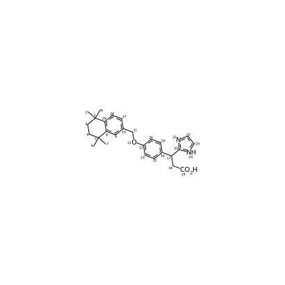 CC1(C)CCC(C)(C)c2cc(COc3ccc(C(CC(=O)O)c4ncc[nH]4)cc3)ccc21